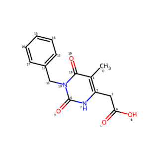 Cc1c(CC(=O)O)[nH]c(=O)n(Cc2ccccc2)c1=O